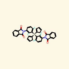 O=C1c2ccccc2C(=O)N1c1ccc(F)[c]([Ti]([C]2=CC=CC2)([C]2=CC=CC2)[c]2c(F)ccc(N3C(=O)c4ccccc4C3=O)c2F)c1F